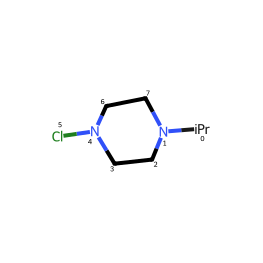 CC(C)N1CCN(Cl)CC1